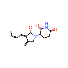 C=C1CN(C2CCC(=O)NC2=O)C(=O)/C1=C/C=C\C